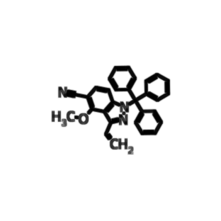 C=Cc1nn(C(c2ccccc2)(c2ccccc2)c2ccccc2)c2ccc(C#N)c(OC)c12